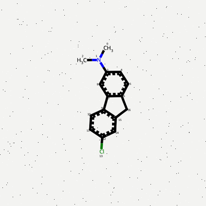 CN(C)c1ccc2c(c1)-c1ccc(Cl)cc1C2